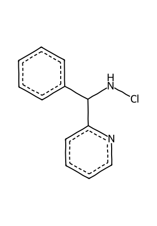 ClNC(c1ccccc1)c1ccccn1